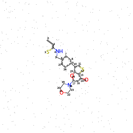 C=CC(=S)NCc1ccc(-c2csc3c(=O)cc(N4CCOCC4)oc23)cc1